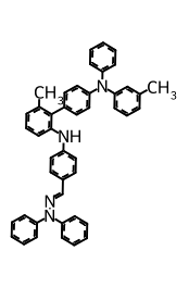 Cc1cccc(N(c2ccccc2)c2ccc(-c3c(C)cccc3Nc3ccc(C=NN(c4ccccc4)c4ccccc4)cc3)cc2)c1